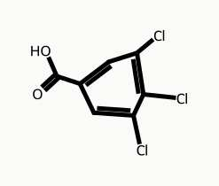 O=C(O)c1cc(Cl)c(Cl)c(Cl)c1